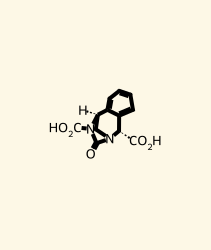 O=C(O)[C@H]1c2ccccc2[C@H]2CN1C(=O)N2C(=O)O